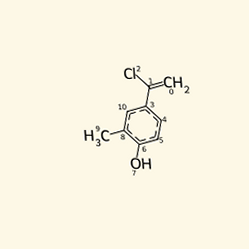 C=C(Cl)c1ccc(O)c(C)c1